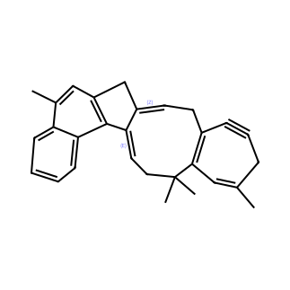 CC1=CC2=C(C#CC1)C/C=C1/Cc3cc(C)c4ccccc4c3/C1=C/CC2(C)C